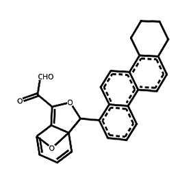 O=CC(=O)C1=C2C3=CC=CC2(O3)C(c2cccc3c2ccc2c4c(ccc23)CCCC4)O1